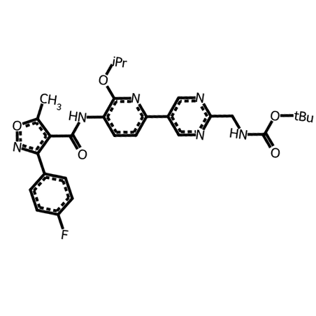 Cc1onc(-c2ccc(F)cc2)c1C(=O)Nc1ccc(-c2cnc(CNC(=O)OC(C)(C)C)nc2)nc1OC(C)C